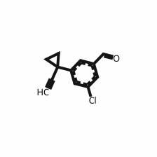 C#CC1(c2cc(Cl)cc(C=O)c2)CC1